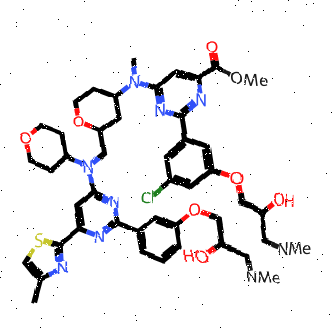 CNCC(O)COc1cc(Cl)cc(-c2nc(C(=O)OC)cc(N(C)C3CCOC(CN(c4cc(-c5nc(C)cs5)nc(-c5cccc(OCC(O)CNC)c5)n4)C4CCOCC4)C3)n2)c1